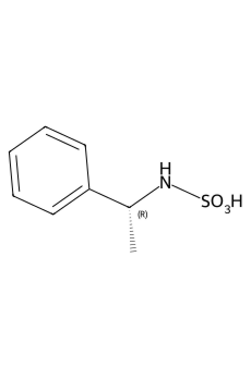 C[C@@H](NS(=O)(=O)O)c1ccccc1